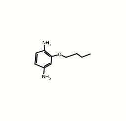 CCCCOc1cc(N)ccc1N